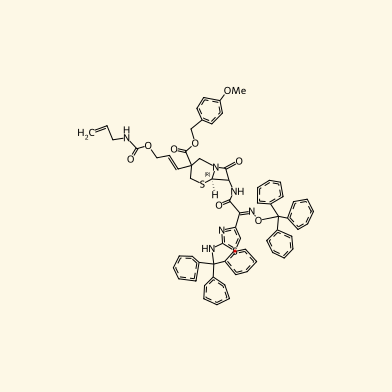 C=CCNC(=O)OCC=CC1(C(=O)OCc2ccc(OC)cc2)CS[C@@H]2C(NC(=O)C(=NOC(c3ccccc3)(c3ccccc3)c3ccccc3)c3csc(NC(c4ccccc4)(c4ccccc4)c4ccccc4)n3)C(=O)N2C1